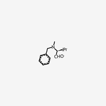 CC(C)[C@@H]([C]=O)N(C)Cc1ccccc1